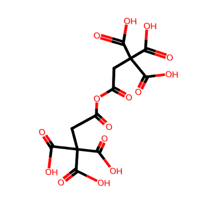 O=C(CC(C(=O)O)(C(=O)O)C(=O)O)OC(=O)CC(C(=O)O)(C(=O)O)C(=O)O